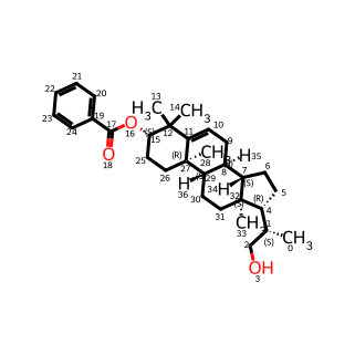 C[C@H](CO)[C@H]1CC[C@H]2[C@@H]3CC=C4C(C)(C)[C@@H](OC(=O)c5ccccc5)CC[C@]4(C)[C@H]3CC[C@]12C